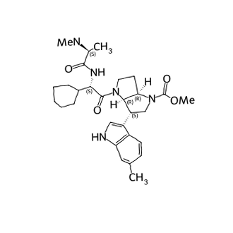 CN[C@@H](C)C(=O)N[C@H](C(=O)N1CC[C@@H]2[C@H]1[C@@H](c1c[nH]c3cc(C)ccc13)CN2C(=O)OC)C1CCCCC1